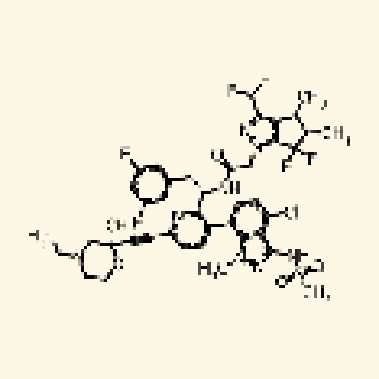 CCN1CCO[C@](C)(C#Cc2ccc(-c3ccc(Cl)c4c(NS(C)(=O)=O)nn(C)c34)c([C@H](Cc3cc(F)cc(F)c3)NC(=O)Cn3nc(C(F)F)c4c3C(F)(F)[C@H](C)[C@@H]4C)n2)C1